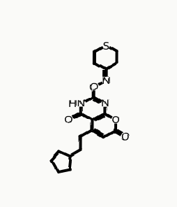 O=c1cc(CCC2CCCC2)c2c(=O)[nH]c(ON=C3CCSCC3)nc2o1